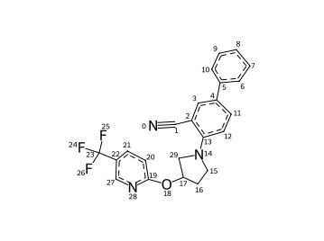 N#Cc1cc(-c2ccccc2)ccc1N1CCC(Oc2ccc(C(F)(F)F)cn2)C1